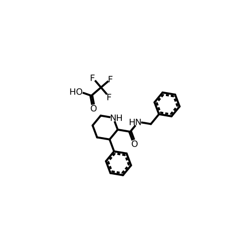 O=C(NCc1ccccc1)C1NCCCC1c1ccccc1.O=C(O)C(F)(F)F